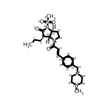 CCC[C@H]1C(=O)N(S(C)(=O)=O)[C@H]2CCN(C(=O)C=Cc3ccc(CN4CCN(C)CC4)cc3)[C@H]12